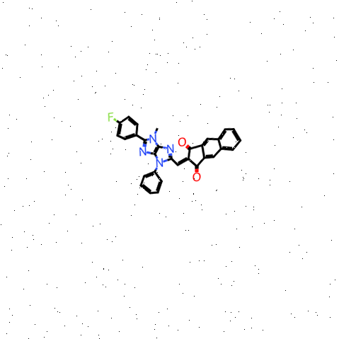 Cn1c(-c2ccc(F)cc2)nc2c1nc(C=C1C(=O)c3cc4ccccc4cc3C1=O)n2-c1ccccc1